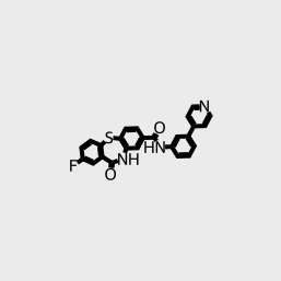 O=C(Nc1cccc(-c2ccncc2)c1)c1ccc2c(c1)NC(=O)c1cc(F)ccc1S2